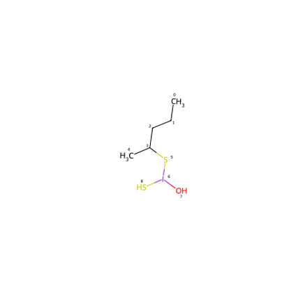 CCCC(C)SI(O)S